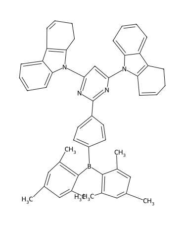 Cc1cc(C)c(B(c2ccc(-c3nc(-n4c5c(c6ccccc64)CCC=C5)cc(-n4c5c(c6ccccc64)C=CCC5)n3)cc2)c2c(C)cc(C)cc2C)c(C)c1